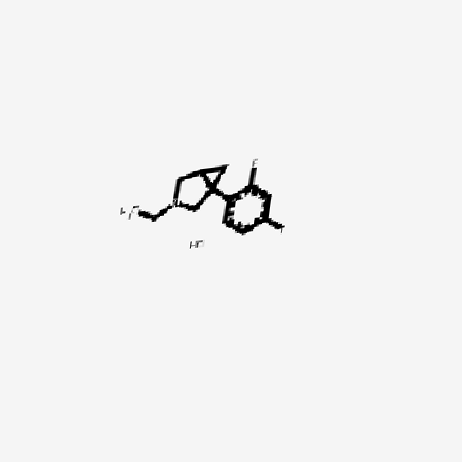 CCN1CC2CC2(c2ccc(F)cc2F)C1.Cl